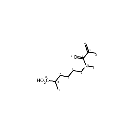 C=C(C)C(=O)N(C)CCCCC(C)C(=O)O